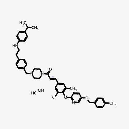 Cc1ccc(COc2ccc(Oc3c(C)cc(/C=C/C(=O)N4CCN(Cc5ccc(CCNc6ccc(C(C)C)cc6)cc5)CC4)cc3Cl)nc2)cc1.Cl.Cl